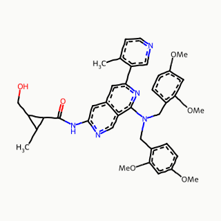 COc1ccc(CN(Cc2ccc(OC)cc2OC)c2nc(-c3cnccc3C)cc3cc(NC(=O)C4C(C)C4CO)ncc23)c(OC)c1